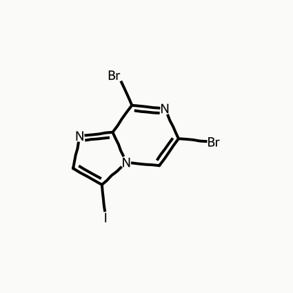 Brc1cn2c(I)cnc2c(Br)n1